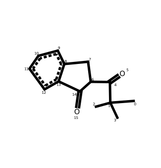 CC(C)(C)C(=O)C1Cc2ccccc2C1=O